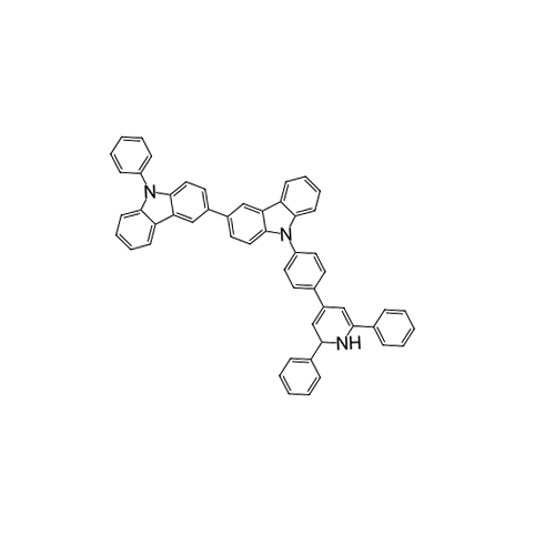 C1=C(c2ccc(-n3c4ccccc4c4cc(-c5ccc6c(c5)c5ccccc5n6-c5ccccc5)ccc43)cc2)C=C(c2ccccc2)NC1c1ccccc1